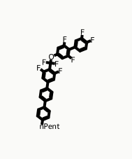 CCCCCc1ccc(-c2ccc(-c3cc(F)c(C(F)(F)Oc4cc(F)c(-c5ccc(F)c(F)c5)c(F)c4)c(F)c3)cc2)cc1